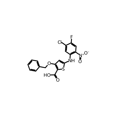 O=C(O)c1sc(Nc2cc(Cl)c(F)cc2[N+](=O)[O-])cc1OCc1ccccc1